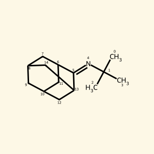 CC(C)(C)N=C1C2CC3CC(C2)CC1C3